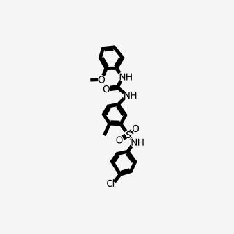 COc1ccccc1NC(=O)Nc1ccc(C)c(S(=O)(=O)Nc2ccc(Cl)cc2)c1